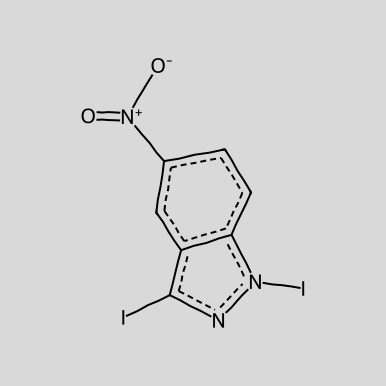 O=[N+]([O-])c1ccc2c(c1)c(I)nn2I